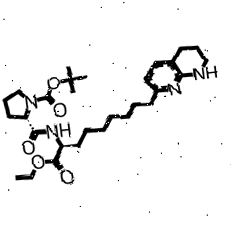 CCOC(=O)[C@H](CCCCCCCc1ccc2c(n1)NCCC2)NC(=O)[C@@H]1CCCN1C(=O)OC(C)(C)C